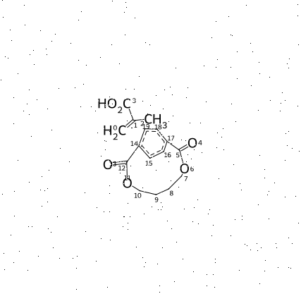 C=C(C)C(=O)O.O=C1OCCCCOC(=O)c2ccc1cc2